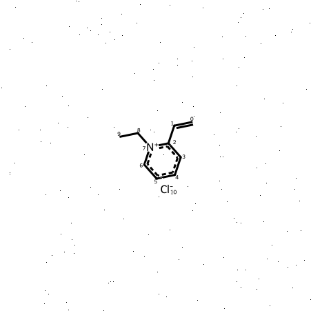 C=Cc1cccc[n+]1CC.[Cl-]